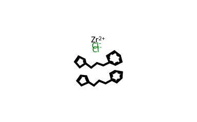 C1=CCC(CCCc2ccccc2)=C1.C1=CCC(CCCc2ccccc2)=C1.[Cl-].[Cl-].[Zr+2]